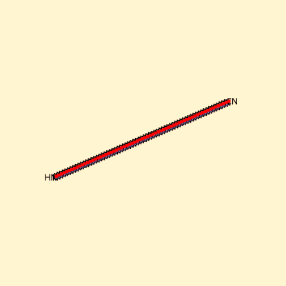 N#C/N=N/N=N/N=N/N=N/N=N/N=N/N=N/N=N/N=N/N=N/N=N/N=N/N=N/N=N/N=N/N=N/N=N/N=N/N=N/N=N/N=N/N=N/N=N/N=N/N=N/N=N/N=N/N=N/N=N/N=N/N=N/N=N/N=N/N=N/N=N/N=N/N=N/N=N/N=N/N=N/N=N/N=N/N=N/N=N/N=N/N=N/N=N/N=N/N=N/N=N/N=N/N=N/N=N/N=N/N=N/N=N/N=N/N=N/N=N/N=N/N=N/N=N/N=N/N=N/N=N/N=N/N=N